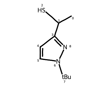 CC(S)c1ccn(C(C)(C)C)n1